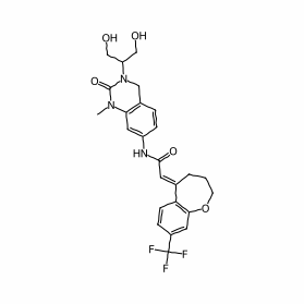 CN1C(=O)N(C(CO)CO)Cc2ccc(NC(=O)/C=C3\CCCOc4cc(C(F)(F)F)ccc43)cc21